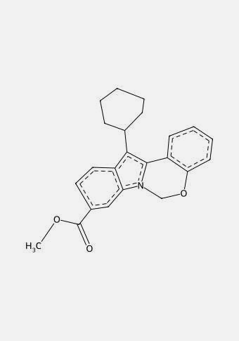 COC(=O)c1ccc2c(C3CCCCC3)c3n(c2c1)COc1ccccc1-3